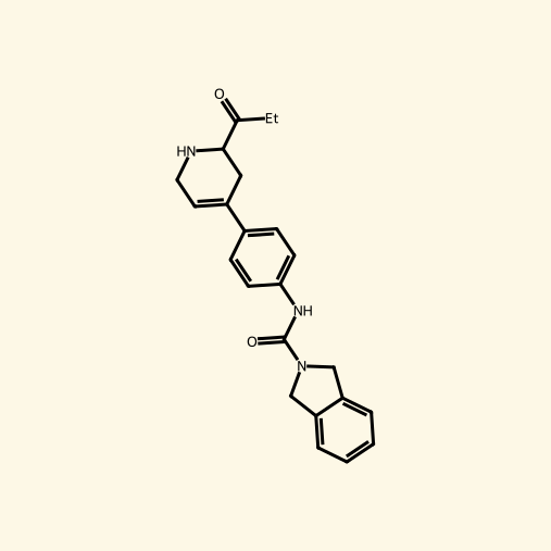 CCC(=O)C1CC(c2ccc(NC(=O)N3Cc4ccccc4C3)cc2)=CCN1